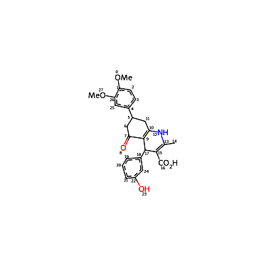 COc1ccc(C2CC(=O)C3=C(C2)NC(C)=C(C(=O)O)C3c2cccc(O)c2)cc1OC